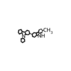 CC1C=c2[nH]c3ccc(-c4ccc5c6ccccc6n(-c6ccccc6)c5c4)cc3c2=CC1